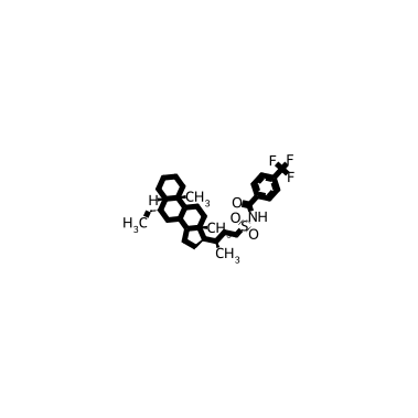 CC[C@H]1CC2C3CC[C@H]([C@H](C)CCS(=O)(=O)NC(=O)c4ccc(C(F)(F)F)cc4)[C@@]3(C)CCC2[C@@]2(C)CCCC[C@@H]12